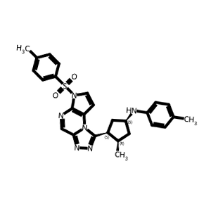 Cc1ccc(N[C@H]2C[C@@H](C)[C@@H](c3nnc4cnc5c(ccn5S(=O)(=O)c5ccc(C)cc5)n34)C2)cc1